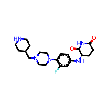 O=C1CC[C@@H](Nc2ccc(N3CCN(CC4CCNCC4)CC3)c(F)c2)C(=O)N1